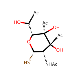 CC(=O)N[C@@H]1[C@H](S)O[C@H](C(O)C(C)=O)[C@](O)(C(C)=O)[C@@]1(O)C(C)=O